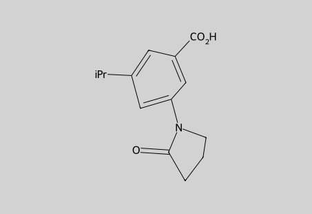 CC(C)c1cc(C(=O)O)cc(N2CCCC2=O)c1